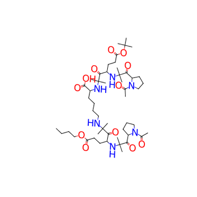 CCCCOC(=O)CCC(NC(C)(C)C(=O)C1CCCN1C(C)=O)C(=O)C(C)(C)NCCCCC(NC(C)(C)C(=O)C(CCC(=O)OC(C)(C)C)NC(C)(C)C(=O)C1CCCN1C(C)=O)C(=O)O